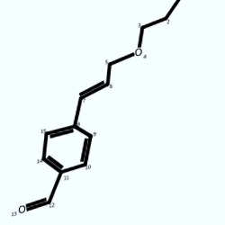 CCCCOCC=Cc1ccc(C=O)cc1